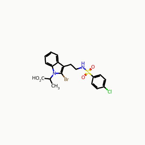 CC(C(=O)O)n1c(Br)c(CCNS(=O)(=O)c2ccc(Cl)cc2)c2ccccc21